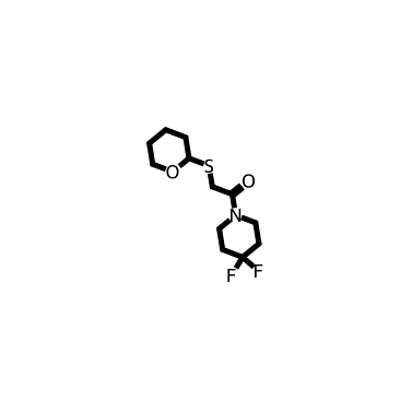 O=C(CSC1CCCCO1)N1CCC(F)(F)CC1